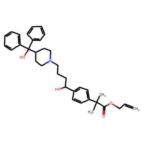 C=CCOC(=O)C(C)(C)c1ccc(C(O)CCCN2CCC(C(O)(c3ccccc3)c3ccccc3)CC2)cc1